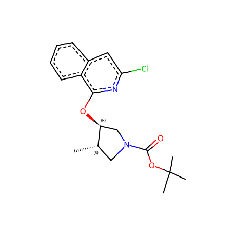 C[C@H]1CN(C(=O)OC(C)(C)C)C[C@@H]1Oc1nc(Cl)cc2ccccc12